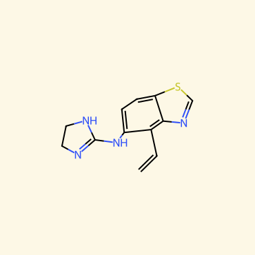 C=Cc1c(NC2=NCCN2)ccc2scnc12